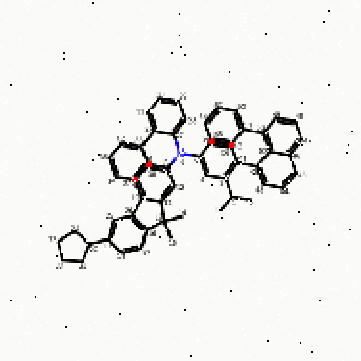 CC(C)c1cc(N(c2ccc3c(c2)C(C)(C)c2ccc(C4CCCC4)cc2-3)c2ccccc2-c2ccccc2)ccc1-c1cccc2cccc(-c3ccccc3)c12